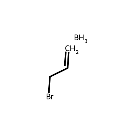 B.C=CCBr